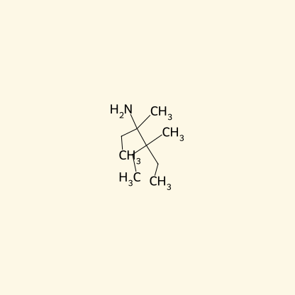 CCC(C)(N)C(C)(CC)CC